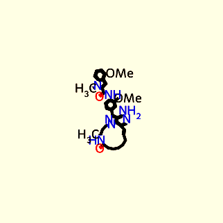 COc1cc(-c2nn3c4c(cnc(N)c24)/C=C/CCCCCC(=O)N[C@H](C)CC3)ccc1NC(=O)c1cc2c(OC)cccc2n1C